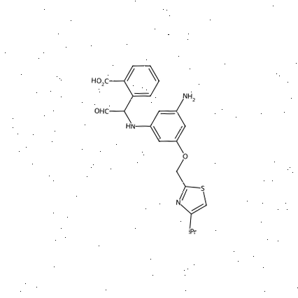 CC(C)c1csc(COc2cc(N)cc(NC(C=O)c3ccccc3C(=O)O)c2)n1